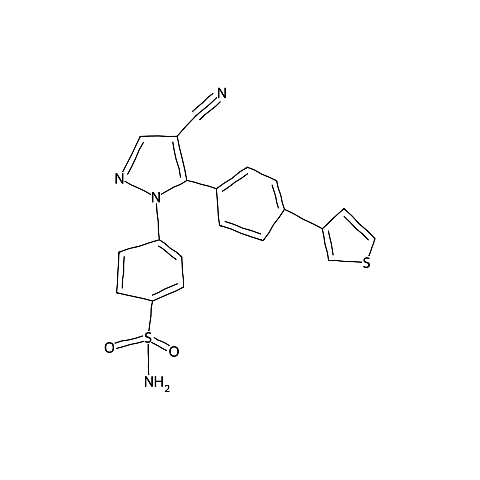 N#Cc1cnn(-c2ccc(S(N)(=O)=O)cc2)c1-c1ccc(-c2ccsc2)cc1